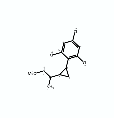 CONC(C)C1CC1c1c(Cl)cc(Cl)cc1Cl